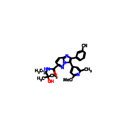 COc1cc(-c2c(-c3cccc(C#N)c3)nc3ccc(C(=O)N[C@@H](C)C(C)(C)O)nn23)cc(C)n1